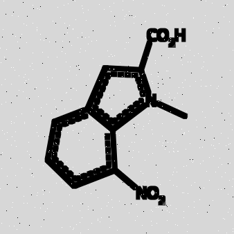 Cn1c(C(=O)O)cc2cccc([N+](=O)[O-])c21